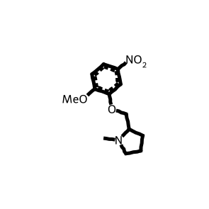 COc1ccc([N+](=O)[O-])cc1OCC1CCCN1C